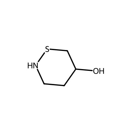 OC1CCNSC1